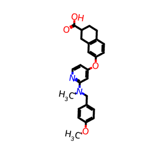 COc1ccc(CN(C)c2cc(Oc3ccc4c(c3)CC(C(=O)O)CC4)ccn2)cc1